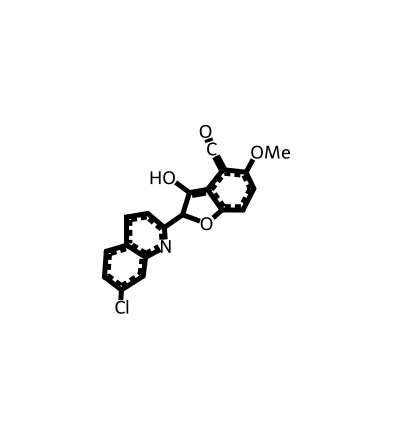 COc1ccc2c(c1=C=O)=C(O)C(c1ccc3ccc(Cl)cc3n1)O2